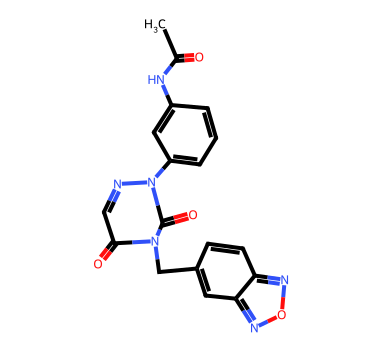 CC(=O)Nc1cccc(-n2ncc(=O)n(Cc3ccc4nonc4c3)c2=O)c1